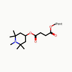 CCCC(C)OC(=O)CCC(=O)OC1CC(C)(C)N(C)C(C)(C)C1